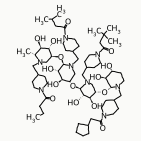 CCCC(=O)N1CCC(CN2C[C@H](O[C@@H]3[C@@H](O)[C@H](O)[C@@H](O[C@@H]4[C@@H](O)[C@H](O)[C@@H](O[C@@H]5[C@@H](O)[C@H](O)CCN5CC5CCN(C(=O)CC6CCCC6)CC5)CN4CC4CCN(C(=O)CC(C)(C)C)CC4)CN3CC3CCN(C(=O)CC(C)C)CC3)[C@@H](O)[C@H](O)[C@H]2C)CC1